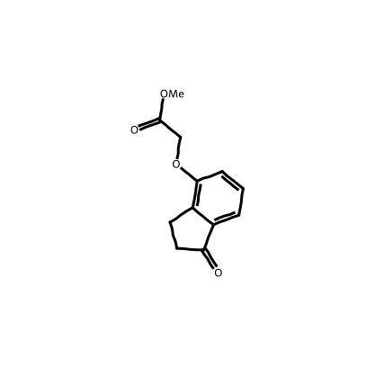 COC(=O)COc1cccc2c1CCC2=O